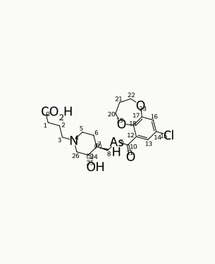 O=C(O)CCCN1CC[C@@H](C[AsH]C(=O)c2cc(Cl)cc3c2OCCCO3)[C@H](O)C1